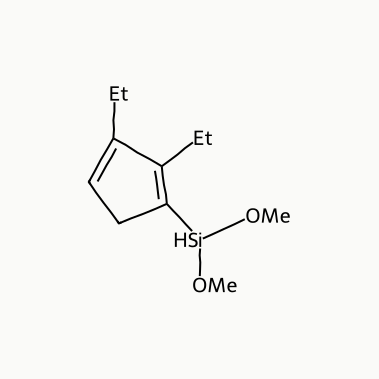 CCC1=CCC([SiH](OC)OC)=C1CC